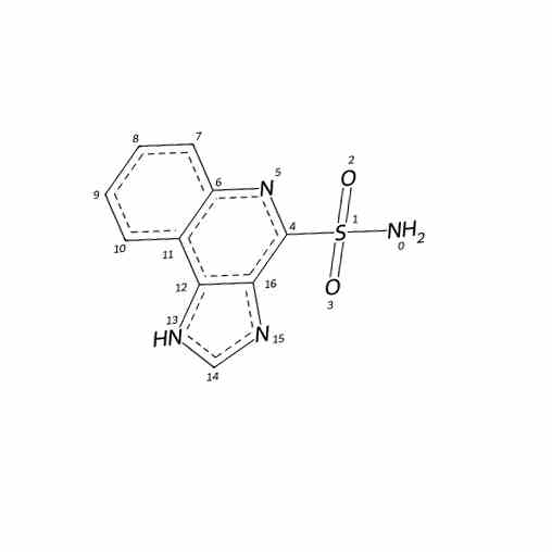 NS(=O)(=O)c1nc2ccccc2c2[nH]cnc12